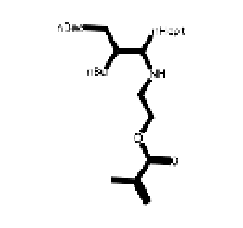 C=C(C)C(=O)OCCNC(CCCCCCC)C(CCCC)CCCCCCCCCCC